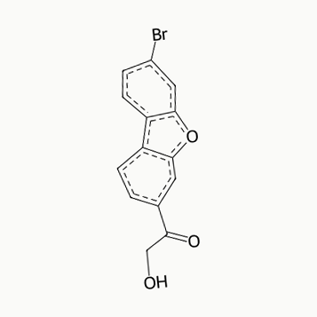 O=C(CO)c1ccc2c(c1)oc1cc(Br)ccc12